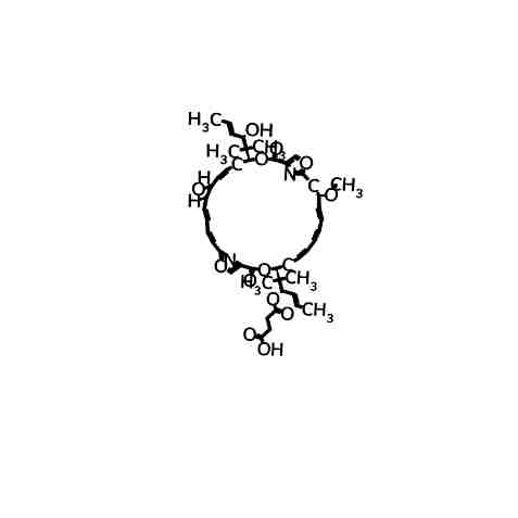 C/C=C/[C@H](OC(=O)CCC(=O)O)C(C)(C)[C@@H]1C\C=C/C=C\C=C\[C@H](OC)Cc2nc(co2)C(=O)O[C@H](C(C)(C)[C@@H](O)/C=C/C)C/C=C\[C@H]2O[C@H]2/C=C/C=C\c2nc(co2)C(=O)O1